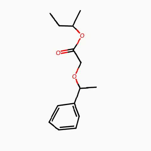 CCC(C)OC(=O)COC(C)c1ccccc1